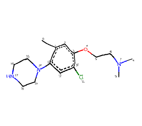 Cc1cc(OCCN(C)C)c(Cl)cc1N1CCNCC1